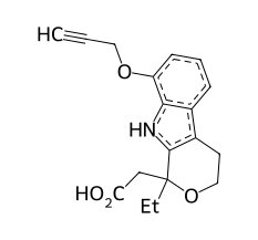 C#CCOc1cccc2c3c([nH]c12)C(CC)(CC(=O)O)OCC3